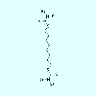 CCN(CC)C(=S)SSCCCCCCSSC(=S)N(CC)CC